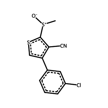 C[S+]([O-])c1scc(-c2cccc(Cl)c2)c1C#N